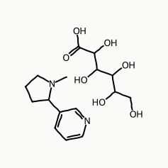 CN1CCCC1c1cccnc1.O=C(O)C(O)C(O)C(O)C(O)CO